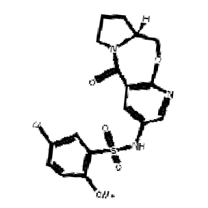 COc1ccc(Cl)cc1S(=O)(=O)Nc1cnc2c(c1)C(=O)N1CCC[C@@H]1CO2